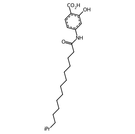 CC(C)CCCCCCCCCCCC(=O)Nc1ccc(C(=O)O)c(O)c1